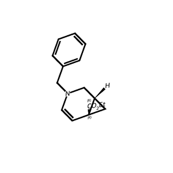 CCOC(=O)[C@@]12C=CN(Cc3ccccc3)C[C@@H]1C2